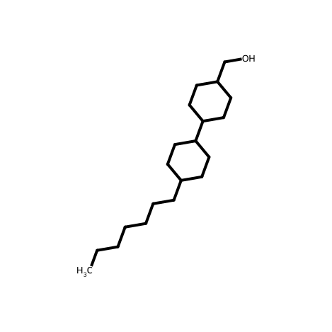 CCCCCCCC1CCC(C2CCC(CO)CC2)CC1